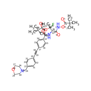 CC(C)(C)C(=O)ONC(=O)[C@@H](NC(=O)c1ccc(C#Cc2ccc(CN3CCOCC3)cc2)cc1)[C@@](C)(F)OC(=O)C(C)(C)C